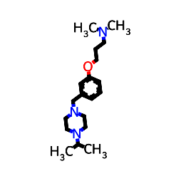 CC(C)N1CCN(Cc2cccc(OCCCN(C)C)c2)CC1